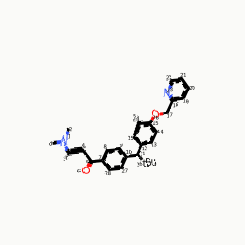 CN(C)C=CC(=O)c1ccc(C(c2ccc(OCc3ccccn3)cc2)C(C)(C)C)cc1